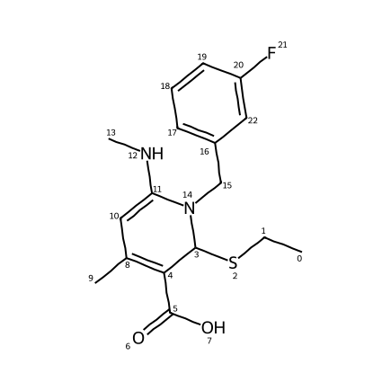 CCSC1C(C(=O)O)=C(C)C=C(NC)N1Cc1cccc(F)c1